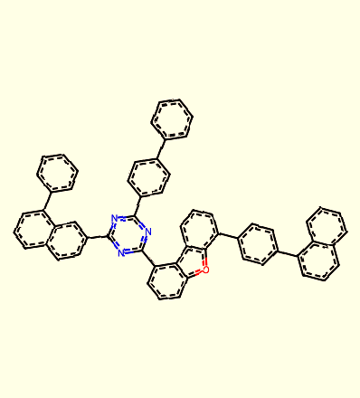 c1ccc(-c2ccc(-c3nc(-c4ccc5cccc(-c6ccccc6)c5c4)nc(-c4cccc5oc6c(-c7ccc(-c8cccc9ccccc89)cc7)cccc6c45)n3)cc2)cc1